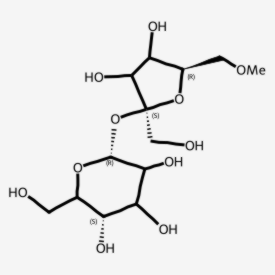 COC[C@H]1O[C@@](CO)(O[C@H]2OC(CO)[C@@H](O)C(O)C2O)C(O)C1O